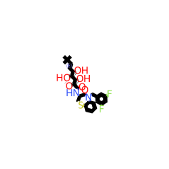 CO[C@@H](C(=O)NC1CSC2C=CC=CC2N(Cc2cc(F)cc(F)c2)C1=O)[C@H](O)[C@@H](O)[C@H](O)/C=C/C(C)(C)C